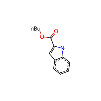 CCCCOC(=O)C1=Cc2ccccc2[N]1